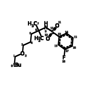 CC(C)(C)COCCCC(C)(C)NS(=O)(=O)c1cccc(F)c1